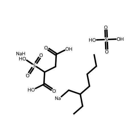 CCCCC(CC)[CH2][Na].O=C(O)CC(C(=O)O)S(=O)(=O)O.O=S(=O)(O)O.[NaH]